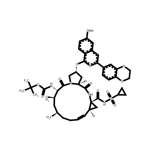 COc1ccc2c(O[C@@H]3C[C@H]4C(=O)N[C@]5(C(=O)NS(=O)(=O)C6CC6)C[C@H]5/C=C\CC[C@@H](C)C[C@@H](C)[C@H](NC(=O)OC(C)(C)C(F)(F)F)C(=O)N4C3)nc(-c3ccc4c(c3)OCCO4)cc2c1